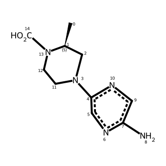 C[C@H]1CN(c2cnc(N)cn2)CCN1C(=O)O